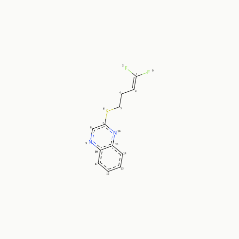 FC(F)=CCCSc1cnc2ccccc2n1